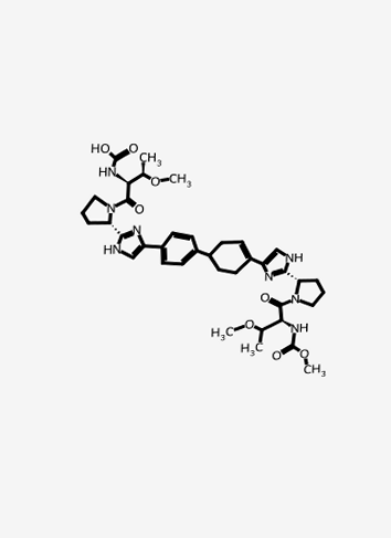 COC(=O)N[C@H](C(=O)N1CCC[C@H]1c1nc(C2=CCC(c3ccc(-c4c[nH]c([C@@H]5CCCN5C(=O)[C@@H](NC(=O)O)[C@@H](C)OC)n4)cc3)CC2)c[nH]1)C(C)OC